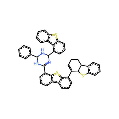 C1=C(c2cccc3c2sc2c(C4=NC(c5cccc6sc7ccccc7c56)NC(c5ccccc5)N4)cccc23)C2Sc3ccccc3C2CC1